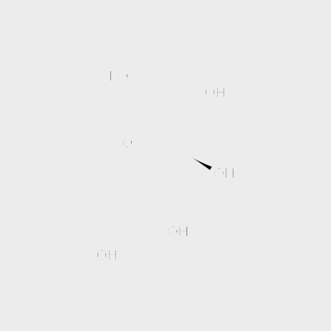 C[C@H]1O[C@@H]([C@H](O)CO)[C@H](O)[C@H]1O